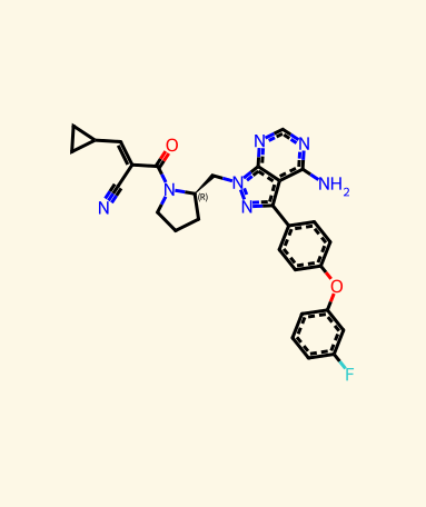 N#CC(=CC1CC1)C(=O)N1CCC[C@@H]1Cn1nc(-c2ccc(Oc3cccc(F)c3)cc2)c2c(N)ncnc21